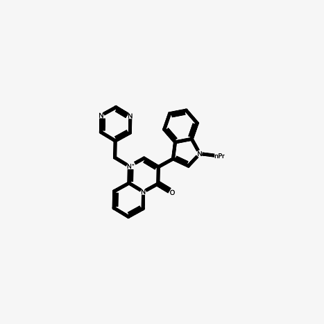 CCCn1cc(-c2c[n+](Cc3cncnc3)c3ccccn3c2=O)c2ccccc21